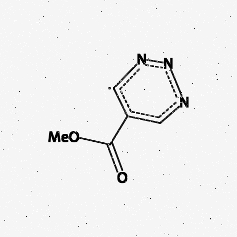 COC(=O)c1[c]nnnc1